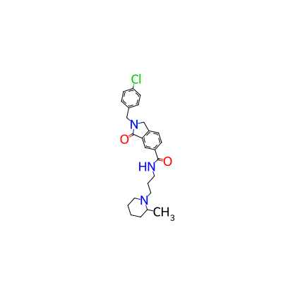 CC1CCCCN1CCCNC(=O)c1ccc2c(c1)C(=O)N(Cc1ccc(Cl)cc1)C2